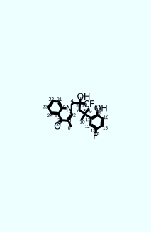 Cc1cn(CC(O)(CC(C)(C)c2cc(F)ccc2O)C(F)(F)F)c2ccccc2c1=O